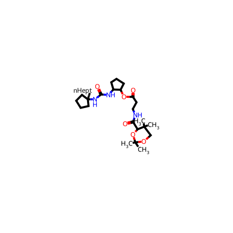 CCCCCCCC1(NC(=O)NC2CCCC2OC(=O)CCNC(=O)C2OC(C)(C)OCC2(C)C)CCCC1